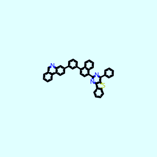 c1ccc(-c2nc(-c3ccc(-c4cccc(-c5ccc6c(c5)ncc5ccccc56)c4)c4ccccc34)nc3c2sc2ccccc23)cc1